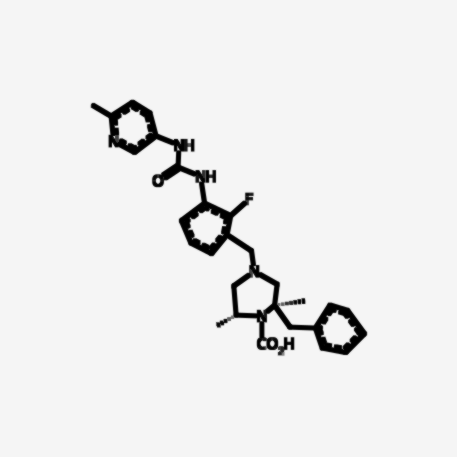 Cc1ccc(NC(=O)Nc2cccc(CN3C[C@@H](C)N(C(=O)O)[C@](C)(Cc4ccccc4)C3)c2F)cn1